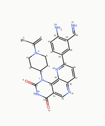 C=C(C(C)C)N1CCC(n2c(=O)[nH]c(=O)c3cnc4ccc(-c5ccc(N)c(C=N)c5)nc4c32)CC1